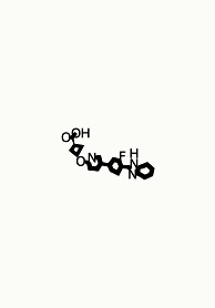 O=C(O)[C@H]1C[C@H](Oc2ccc(-c3ccc(-c4nc5ccccc5[nH]4)c(F)c3)cn2)C1